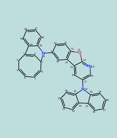 C1=C2C/C=C\C=C/C1N(c1ccc3oc4ncc(-n5c6ccccc6c6ccccc65)cc4c3c1)c1ccccc12